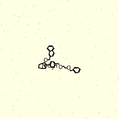 O=C(O)N1C2CCC1C(OCc1ccc3ccccc3c1)C(c1ccc(COCCOCc3ccccc3)cc1)C2